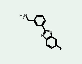 NCc1cccc(-c2nc3ccc(F)cc3s2)c1